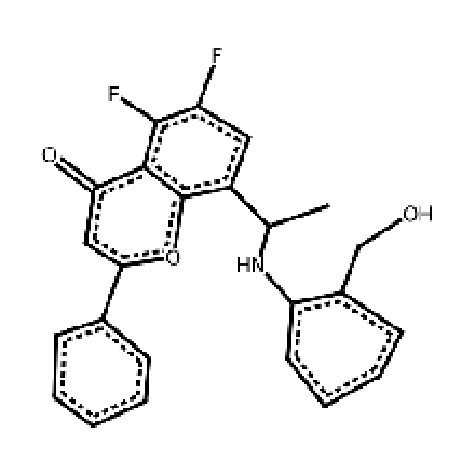 CC(Nc1ccccc1CO)c1cc(F)c(F)c2c(=O)cc(-c3ccccc3)oc12